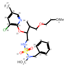 COCCOCC(C)C(CNS(=O)(=O)N(Cc1ccccc1)C(=O)O)Oc1ncc(C(F)(F)F)cc1Cl